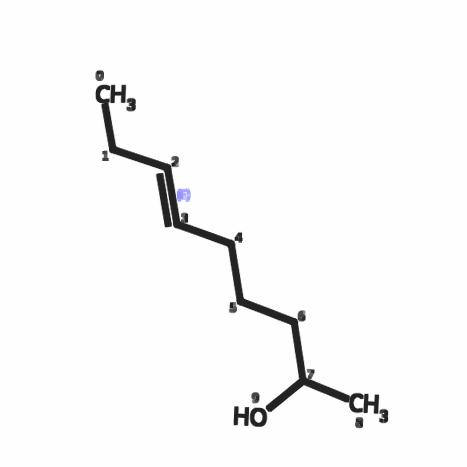 CC/C=C/CCCC(C)O